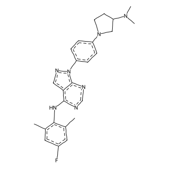 Cc1cc(F)cc(C)c1Nc1ncnc2c1cnn2-c1ccc(N2CCC(N(C)C)C2)cc1